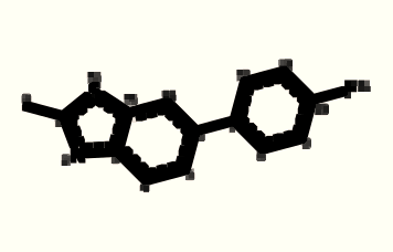 Cc1nc2ccc(-c3ccc(F)cc3)cc2s1